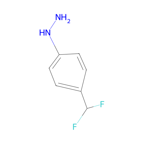 NNc1ccc(C(F)F)cc1